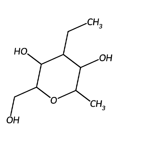 CCC1C(O)C(C)OC(CO)C1O